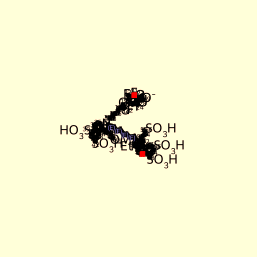 CC[N+]1=C(/C=C/C=C/C=C/C=C2/N(CCCCCC(=O)Oc3c(F)c(F)c(S(=O)(=O)[O-])c(F)c3F)c3ccc4c(S(=O)(=O)O)cc(S(=O)(=O)O)cc4c3C2(C)CCOC)C(C)(CCCS(=O)(=O)O)c2c1ccc1c(S(=O)(=O)O)cc(S(=O)(=O)O)cc21